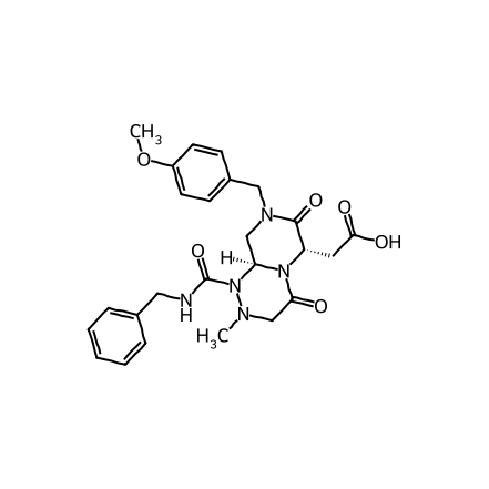 COc1ccc(CN2C[C@H]3N(C(=O)CN(C)N3C(=O)NCc3ccccc3)[C@@H](CC(=O)O)C2=O)cc1